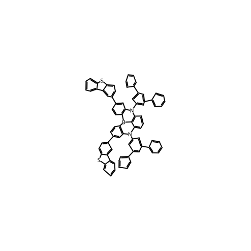 c1ccc(-c2cc(-c3ccccc3)cc(N3c4cc(-c5ccc6sc7ccccc7c6c5)ccc4B4c5ccc(-c6ccc7sc8ccccc8c7c6)cc5N(c5cc(-c6ccccc6)cc(-c6ccccc6)c5)c5cccc3c54)c2)cc1